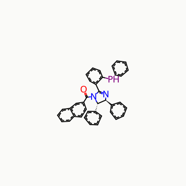 O=C(c1ccc2ccccc2c1)N1C(c2ccccc2Pc2ccccc2)=N[C@@H](c2ccccc2)[C@@H]1c1ccccc1